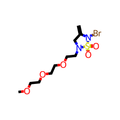 C=C1CN(CCOCCOCCOC)S(=O)(=O)N1Br